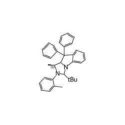 Cc1ccccc1N1C(C(C)(C)C)N2c3ccccc3C(c3ccccc3)(c3ccccc3)C2[C@@H]1C